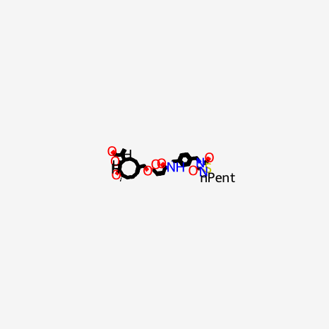 C=C1C(=O)O[C@H]2[C@H]1CC/C(COC(=O)/C=C\C(=O)NCc1ccc(Cn3c(=O)sn(CCCCC)c3=O)cc1)=C\CC[C@@]1(C)O[C@@H]21